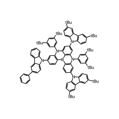 CC(C)(C)c1cc(N2c3cc(-n4c5ccccc5c5cc(-c6ccccc6)ccc54)ccc3B3c4ccc(-n5c6ccc(C(C)(C)C)cc6c6cc(C(C)(C)C)ccc65)cc4N(c4cc(C(C)(C)C)cc(C(C)(C)C)c4)c4cc(-n5c6ccc(C(C)(C)C)cc6c6cc(C(C)(C)C)ccc65)cc2c43)cc(C(C)(C)C)c1